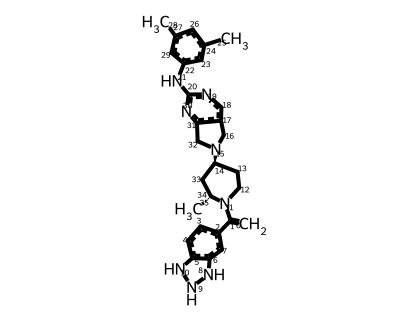 C=C(c1ccc2c(c1)NNN2)N1CC[C@H](N2Cc3cnc(Nc4cc(C)cc(C)c4)nc3C2)C[C@H]1C